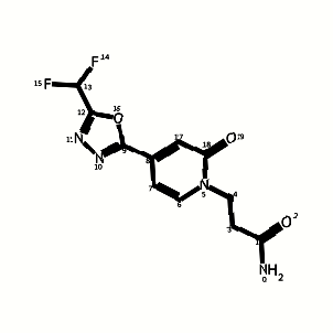 NC(=O)CCn1ccc(-c2nnc(C(F)F)o2)cc1=O